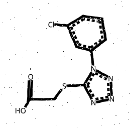 O=C(O)CSc1nnnn1-c1cccc(Cl)c1